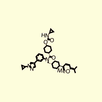 C=C(/C=C\C(OC)=C(C)C)[C@H]1CC[C@H](CN(c2cccc(-c3cnn(C4CC4)c3)c2)C(=O)[C@H]2CC[C@H](OC(=O)NC3CC3)CC2)CC1